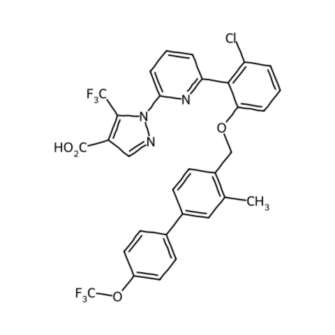 Cc1cc(-c2ccc(OC(F)(F)F)cc2)ccc1COc1cccc(Cl)c1-c1cccc(-n2ncc(C(=O)O)c2C(F)(F)F)n1